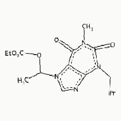 CCOC(=O)OC(C)n1cnc2c1c(=O)n(C)c(=O)n2CC(C)C